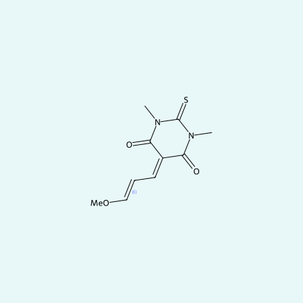 CO/C=C/C=C1C(=O)N(C)C(=S)N(C)C1=O